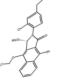 CCCc1c2c(c(OCC(F)(F)F)c3ccccc13)[C@H](OC)N(c1ccc(CC(=O)OCC)cc1Cl)C2=O